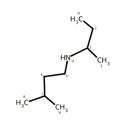 CCC(C)NCCC(C)C